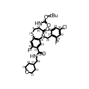 CC(C)(C)OC(=O)N[C@H]1CSc2cc(F)c(C(=O)NCC3CCOCC3)cc2N(Cc2ccc(Cl)cc2F)C1=O